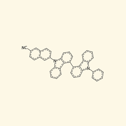 N#Cc1ccc2cc(-n3c4ccccc4c4c(-c5cccc6c5c5ccccc5n6-c5ccccc5)cccc43)ccc2c1